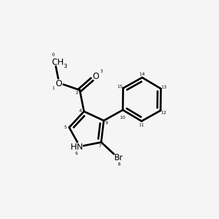 COC(=O)c1c[nH]c(Br)c1-c1ccccc1